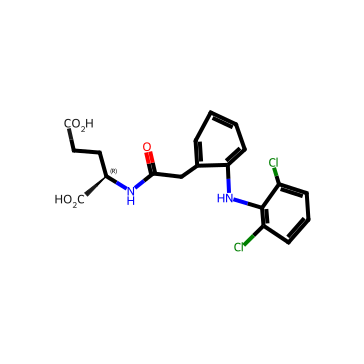 O=C(O)CC[C@@H](NC(=O)Cc1ccccc1Nc1c(Cl)cccc1Cl)C(=O)O